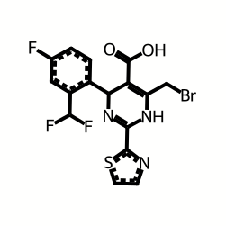 O=C(O)C1=C(CBr)NC(c2nccs2)=NC1c1ccc(F)cc1C(F)F